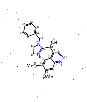 COc1cc2nncc(C(C#N)C3=NCCN3Cc3ccccc3)c2cc1OC